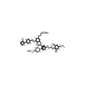 COCCCc1cc(CN(C(=O)[C@H]2CN(C(=O)O)CC[C@@H]2c2ccc(OCCOc3c(Cl)cc(C)cc3Cl)cc2)C2CC2)cc(OCc2ccc(-c3nnn[nH]3)cc2)c1